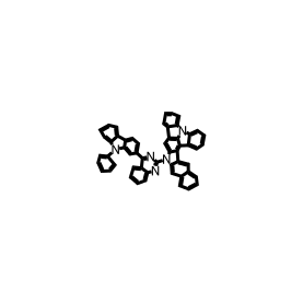 c1ccc(-n2c3ccccc3c3ccc(-c4nc(-n5c6cc7ccccc7cc6c6c7c8ccccc8n8c9ccccc9c(cc65)c78)nc5ccccc45)cc32)cc1